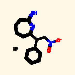 N=c1ccccc(C(C[N+](=O)[O-])c2ccccc2)n1.[H+]